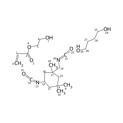 C=CC(=O)OCCO.CC1(C)CC(N=C=O)CC(C)(CN=C=O)C1.OCCCCO